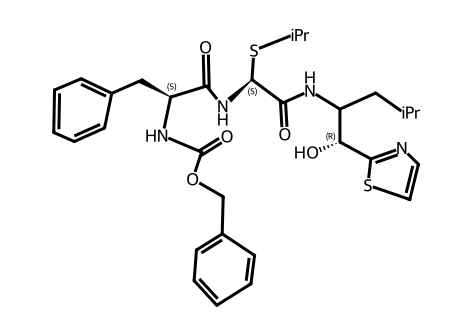 CC(C)CC(NC(=O)[C@@H](NC(=O)[C@H](Cc1ccccc1)NC(=O)OCc1ccccc1)SC(C)C)[C@@H](O)c1nccs1